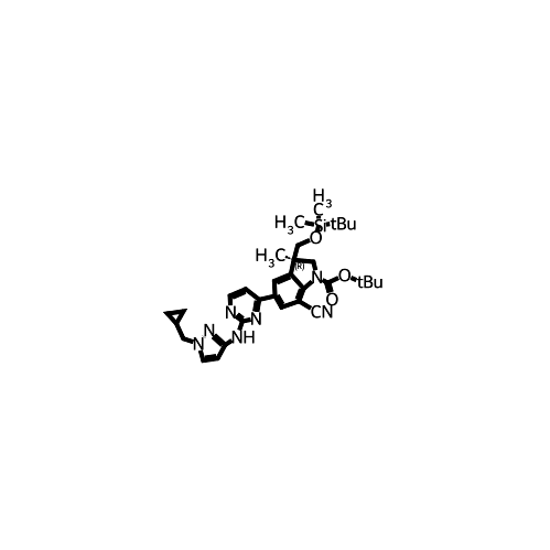 CC(C)(C)OC(=O)N1C[C@](C)(CO[Si](C)(C)C(C)(C)C)c2cc(-c3ccnc(Nc4ccn(CC5CC5)n4)n3)cc(C#N)c21